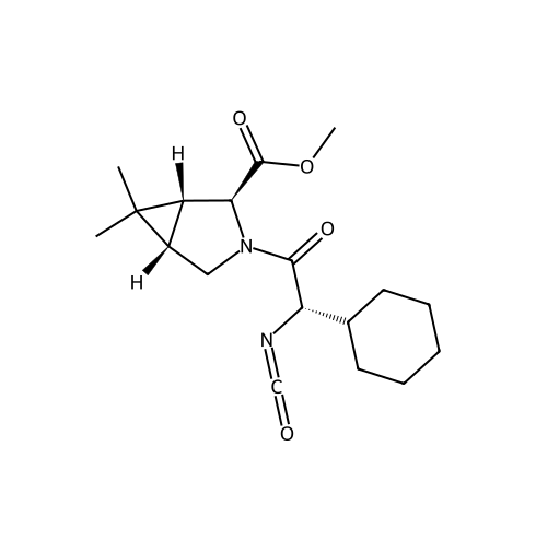 COC(=O)[C@@H]1[C@@H]2[C@H](CN1C(=O)[C@@H](N=C=O)C1CCCCC1)C2(C)C